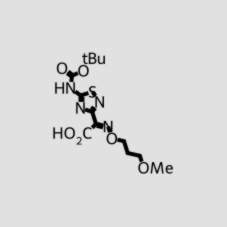 COCCCON=C(C(=O)O)c1nsc(NC(=O)OC(C)(C)C)n1